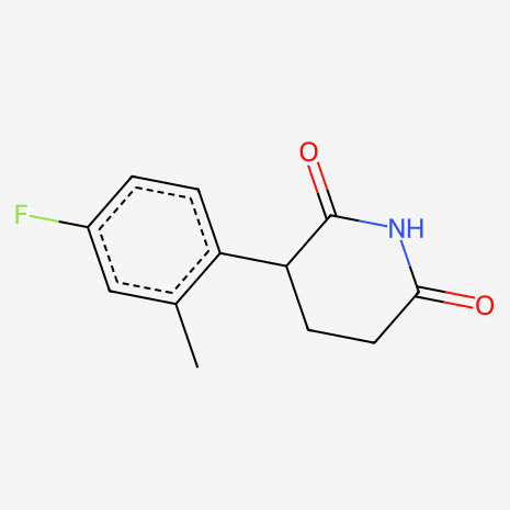 Cc1cc(F)ccc1C1CCC(=O)NC1=O